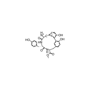 COC(=O)C1Cc2ccc(O)c(c2)-c2cc(ccc2O)CC(N)C(=O)N[C@@H](Cc2ccc(O)cc2)C(=O)N1